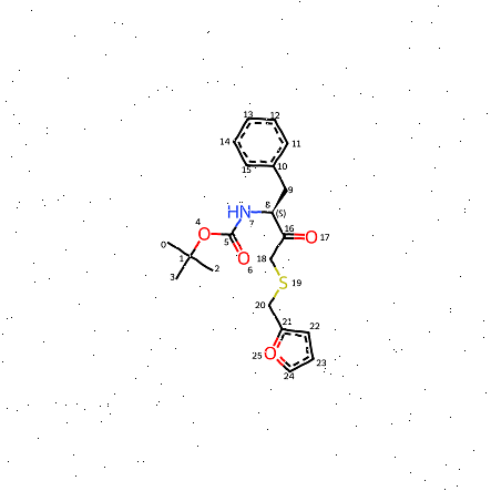 CC(C)(C)OC(=O)N[C@@H](Cc1ccccc1)C(=O)CSCc1ccco1